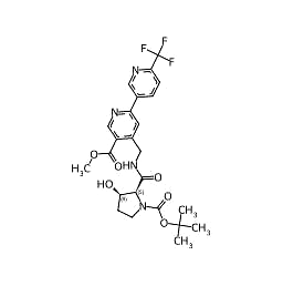 COC(=O)c1cnc(-c2ccc(C(F)(F)F)nc2)cc1CNC(=O)[C@@H]1[C@H](O)CCN1C(=O)OC(C)(C)C